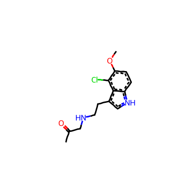 COc1ccc2[nH]cc(CCNCC(C)=O)c2c1Cl